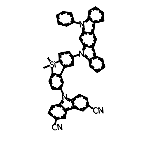 C[Si]1(C)c2ccc(-n3c4ccc(C#N)cc4c4cc(C#N)ccc43)cc2-c2cc(-n3c4ccccc4c4cc5c6ccccc6n(-c6ccccc6)c5cc43)ccc21